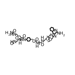 CCOCc1nc2c(N)nc3ccccc3c2n1CC(C)(C)OCCNC(=O)C(C)(C)NC(=O)OCc1ccc(NC(=O)C(CCCNC(N)=O)NC(=O)CNC=O)cc1